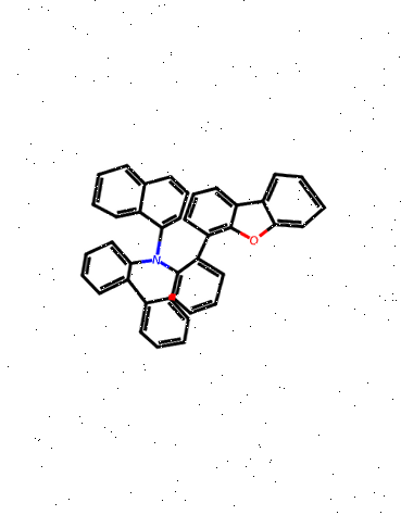 c1ccc(-c2ccccc2N(c2ccccc2-c2cccc3c2oc2ccccc23)c2cccc3ccccc23)cc1